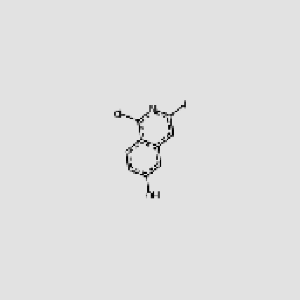 Oc1ccc2c(Cl)nc(I)cc2c1